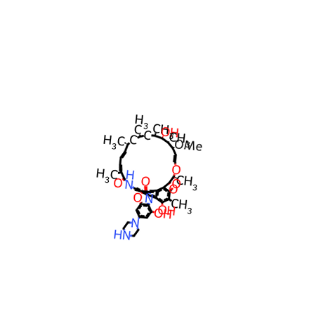 CO[C@H]1/C=C/O[C@@]2(C)Oc3c(C)c(O)c4c(=O)c(c5oc6cc(N7CCNCC7)cc(O)c6nc-5c4c3C2=O)NC(=O)/C(C)=C\C=C\[C@H](C)C[C@@H](C)C[C@@H](C)[C@H](O)[C@@H]1C